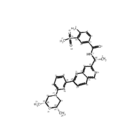 Cc1ccc(C(=O)N[C@H](C)c2cc3nc(-c4cccc(N5C[C@@H](C)O[C@@H](C)C5)n4)ccc3cn2)cc1S(C)(=O)=O